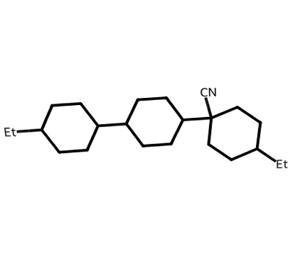 CCC1CCC(C2CCC(C3(C#N)CCC(CC)CC3)CC2)CC1